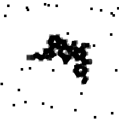 CC[C@@H]1CCCN(C(=O)c2cc(OC)c3c(c2)nc(-c2cc4cccc(-c5cnn(CCO)c5)c4n2CC2CC2)n3C)C1